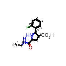 CC(C)CNC(=O)C1CC(C(=O)O)C(c2ccccc2F)N1